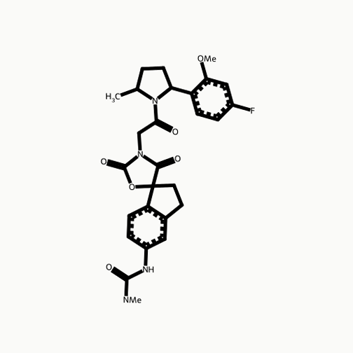 CNC(=O)Nc1ccc2c(c1)CCC21OC(=O)N(CC(=O)N2C(C)CCC2c2ccc(F)cc2OC)C1=O